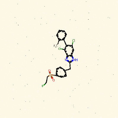 O=S(=O)(CCF)c1ccc(Cc2nc3c(Cl)c(-c4ccccc4C(F)(F)F)c(Cl)cc3[nH]2)cc1